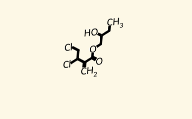 C=C(C(=O)OCC(O)CC)C(Cl)CCl